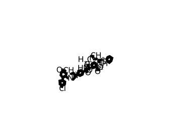 CN(C)CC[C@H](CSc1ccccc1)Nc1ccc(S(=O)(=O)NC(=O)c2ccc(N3CCN(CC4=C(c5ccc(Cl)cc5)CCC(C)(C=O)C4)CC3)cc2)cc1[N+](=O)[O-]